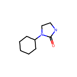 O=C1[N]CCN1C1CCCCC1